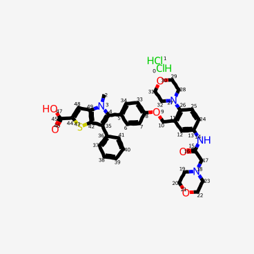 Cl.Cl.Cn1c(-c2ccc(OCc3cc(NC(=O)CN4CCOCC4)ccc3N3CCOCC3)cc2)c(-c2ccccc2)c2sc(C(=O)O)cc21